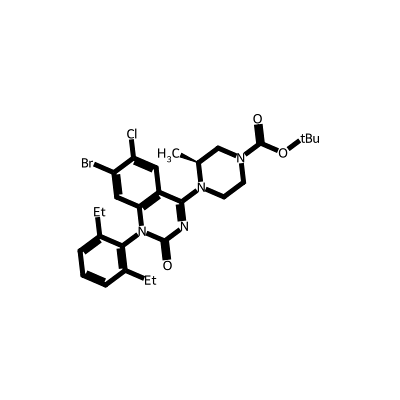 CCc1cccc(CC)c1-n1c(=O)nc(N2CCN(C(=O)OC(C)(C)C)C[C@@H]2C)c2cc(Cl)c(Br)cc21